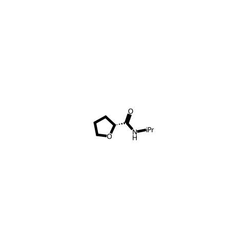 CC(C)NC(=O)[C@H]1CCCO1